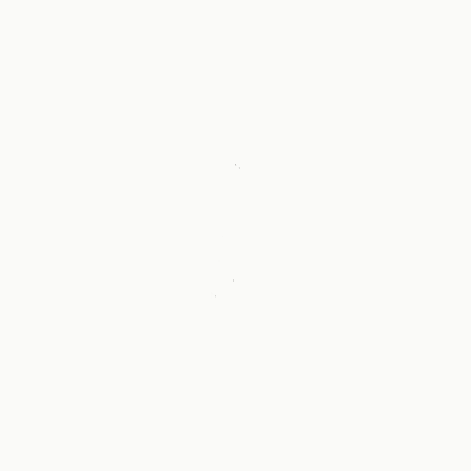 O=C1NCC1c1ccc2ncsc2c1